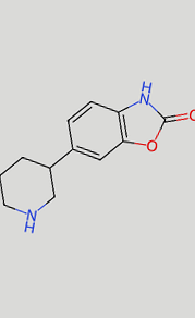 O=c1[nH]c2ccc(C3CCCNC3)cc2o1